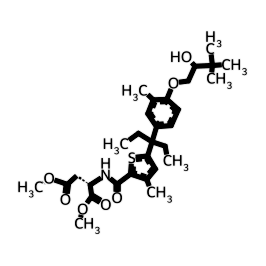 CCC(CC)(c1ccc(OCC(O)C(C)(C)C)c(C)c1)c1cc(C)c(C(=O)N[C@@H](CC(=O)OC)C(=O)OC)s1